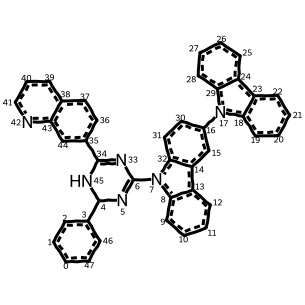 c1ccc(C2N=C(n3c4ccccc4c4cc(-n5c6ccccc6c6ccccc65)ccc43)N=C(c3ccc4cccnc4c3)N2)cc1